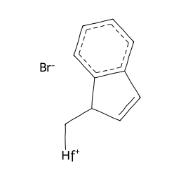 [Br-].[Hf+][CH2]C1C=Cc2ccccc21